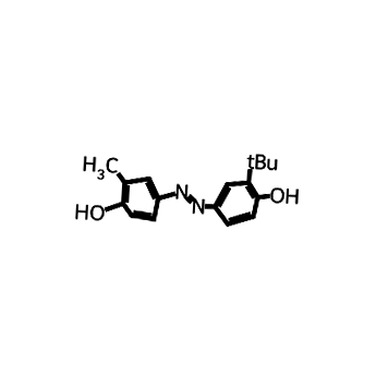 Cc1cc(/N=N/c2ccc(O)c(C(C)(C)C)c2)ccc1O